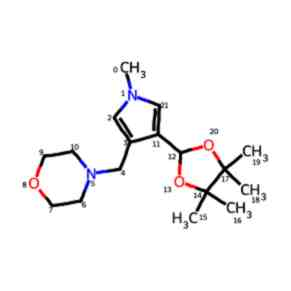 Cn1cc(CN2CCOCC2)c(C2OC(C)(C)C(C)(C)O2)c1